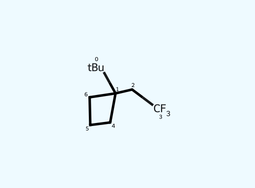 CC(C)(C)C1(CC(F)(F)F)CCC1